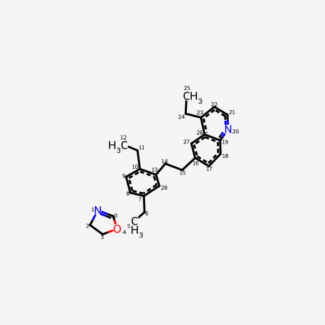 C1=NCCO1.CCc1ccc(CC)c(CCc2ccc3nccc(CC)c3c2)c1